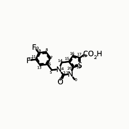 CN1C(=O)N(Cc2ccc(F)c(F)c2)Cc2cc(C(=O)O)sc21